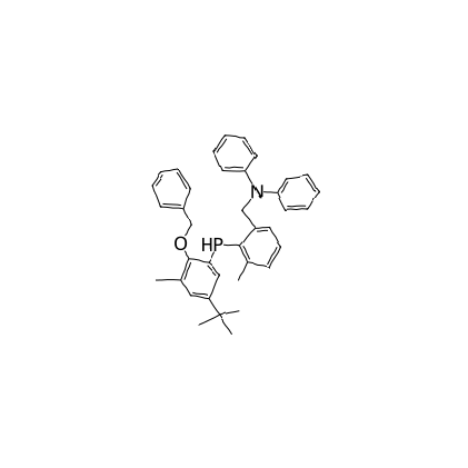 Cc1cc(C(C)(C)C)cc(Pc2c(C)cccc2CN(c2ccccc2)c2ccccc2)c1OCc1ccccc1